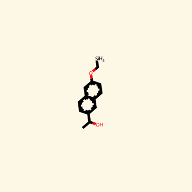 CC(O)c1ccc2cc(OC[SiH3])ccc2c1